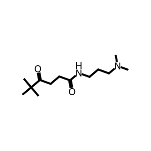 CN(C)CCCNC(=O)CCC(=O)C(C)(C)C